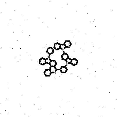 c1ccc(-n2c3ccccc3c3c4c(ccc32)c(-c2cccc(-n3c5ccccc5c5cc(-n6c7ccccc7c7ccccc76)ccc53)c2)nc2ccccc24)cc1